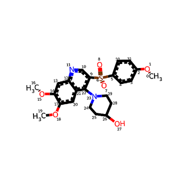 COc1ccc(S(=O)(=O)c2cnc3cc(OC)c(OC)cc3c2N2CCC(O)CC2)cc1